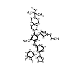 COc1cc(N2CCC3(CC2)CCN(C(C)(C)CF)CC3)c(-c2cnn(CCO)c2)cc1Nc1cc(N2OCC[C@@H]2c2cccc(F)c2F)ncn1